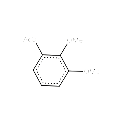 COc1cccc(OC(C)=O)c1OC